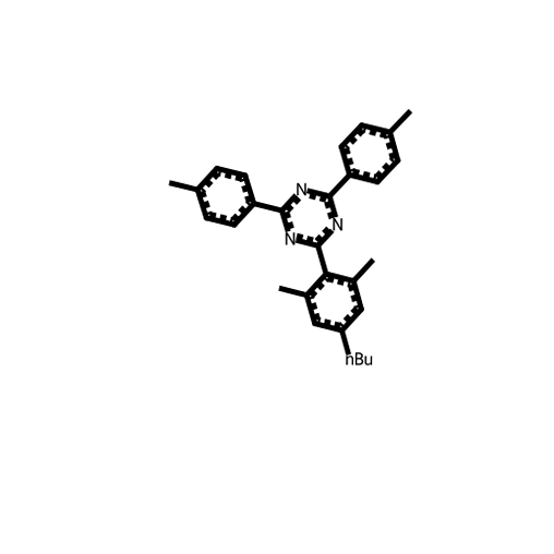 CCCCc1cc(C)c(-c2nc(-c3ccc(C)cc3)nc(-c3ccc(C)cc3)n2)c(C)c1